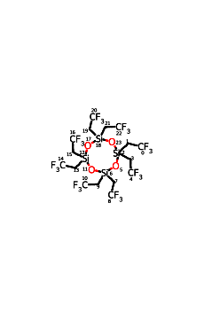 FC(F)(F)C[Si]1(CC(F)(F)F)O[Si](CC(F)(F)F)(CC(F)(F)F)O[Si](CC(F)(F)F)(CC(F)(F)F)O[Si](CC(F)(F)F)(CC(F)(F)F)O1